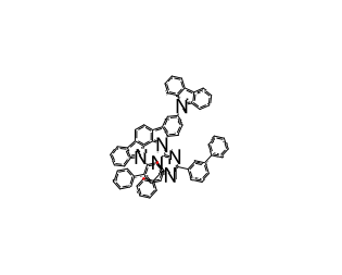 c1ccc(-c2cccc(-c3nc(-c4ccccc4)nc(-n4c5ccc(-n6c7ccccc7c7ccccc76)cc5c5ccc6c7ccccc7n(-c7ccccc7-c7ccccc7)c6c54)n3)c2)cc1